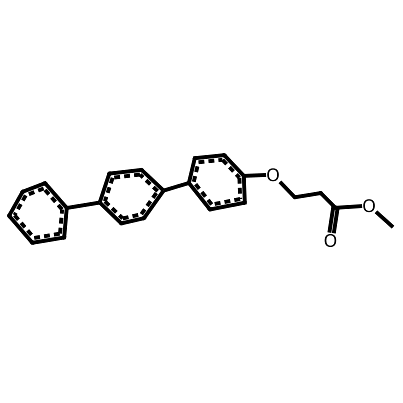 COC(=O)CCOc1ccc(-c2ccc(-c3ccccc3)cc2)cc1